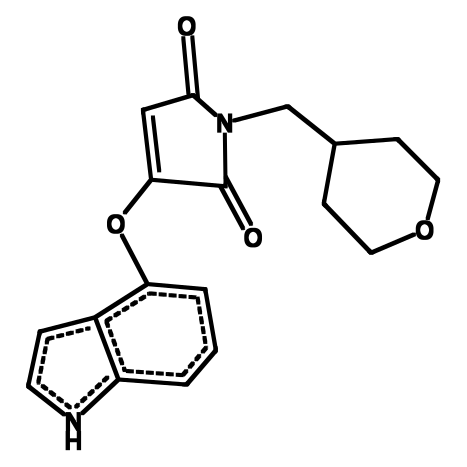 O=C1C=C(Oc2cccc3[nH]ccc23)C(=O)N1CC1CCOCC1